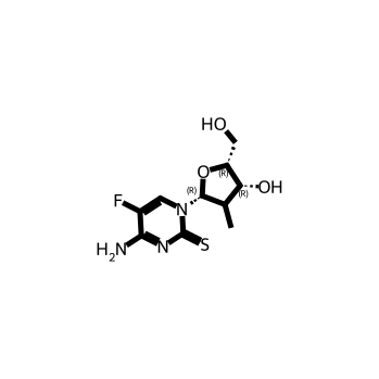 CC1[C@@H](O)[C@@H](CO)O[C@H]1n1cc(F)c(N)nc1=S